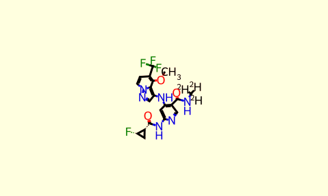 [2H]C([2H])([2H])NC(=O)c1cnc(NC(=O)[C@@H]2C[C@@H]2F)cc1Nc1cnn2ccc(C(F)(F)F)c(OC)c12